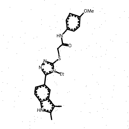 CCn1c(SCC(=O)Nc2ccc(OC)cc2)nnc1-c1ccc2[nH]c(C)c(C)c2c1